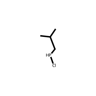 CC(C)CPCl